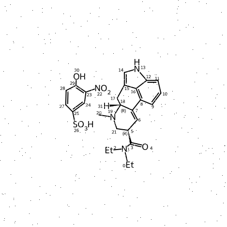 CCN(CC)C(=O)[C@@H]1C=C2c3cccc4[nH]cc(c34)C[C@H]2N(C)C1.O=[N+]([O-])c1cc(S(=O)(=O)O)ccc1O